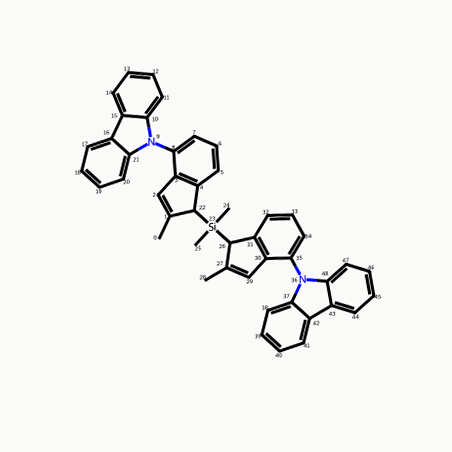 CC1=Cc2c(cccc2-n2c3ccccc3c3ccccc32)C1[Si](C)(C)C1C(C)=Cc2c1cccc2-n1c2ccccc2c2ccccc21